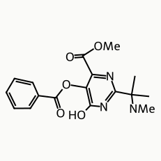 CNC(C)(C)c1nc(O)c(OC(=O)c2ccccc2)c(C(=O)OC)n1